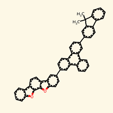 CC1(C)c2ccccc2-c2ccc(-c3ccc4c5ccc(-c6ccc7oc8c(ccc9c%10ccccc%10oc98)c7c6)cc5c5ccccc5c4c3)cc21